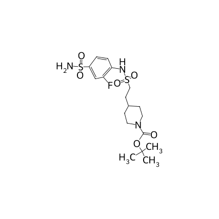 CC(C)(C)OC(=O)N1CCC(CCS(=O)(=O)Nc2ccc(S(N)(=O)=O)cc2F)CC1